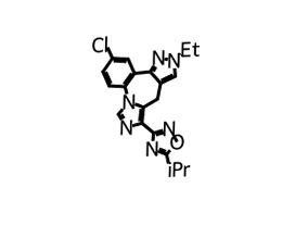 CCn1cc2c(n1)-c1cc(Cl)ccc1-n1cnc(-c3noc(C(C)C)n3)c1C2